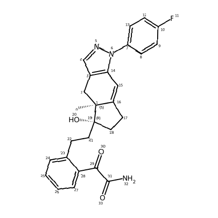 C[C@]12Cc3cnn(-c4ccc(F)cc4)c3C=C1CC[C@@]2(O)CCc1ccccc1C(=O)C(N)=O